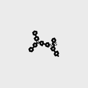 Cc1ccc(-c2ccc3c(c2)c2sc4ccccc4c2n3-c2ccc(-c3ccc(N(c4ccc(-c5ccccc5)cc4)c4ccc(-c5ccccc5)cc4)cc3)cc2)cc1